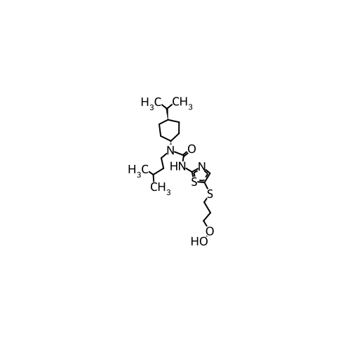 CC(C)CCN(C(=O)Nc1ncc(SCCCOO)s1)[C@H]1CC[C@H](C(C)C)CC1